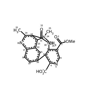 COC(=O)c1cnc(C(=O)O)c2c1NC(=O)c1c(C)nc3ccc-2cc3c1N(C)C